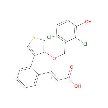 O=C(O)/C=C/c1ccccc1-c1cscc1OCc1c(Cl)ccc(O)c1Cl